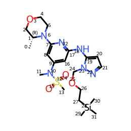 C[C@@H]1COCCN1c1cc(N(C)S(C)(=O)=O)cc(Nc2ccnn2COCC[Si](C)(C)C)n1